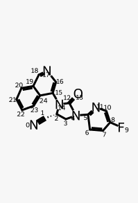 N#C[C@H]1CN(c2ccc(F)cn2)C(=O)N1c1cncc2ccccc12